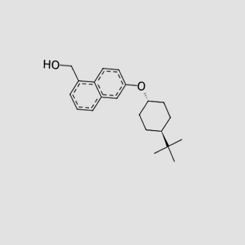 CC(C)(C)[C@H]1CC[C@H](Oc2ccc3c(CO)cccc3c2)CC1